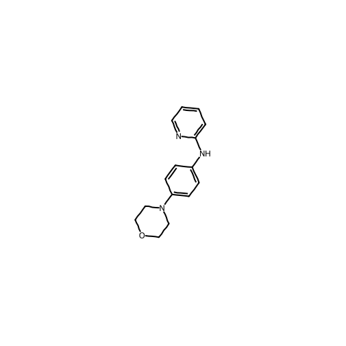 c1ccc(Nc2ccc(N3CCOCC3)cc2)nc1